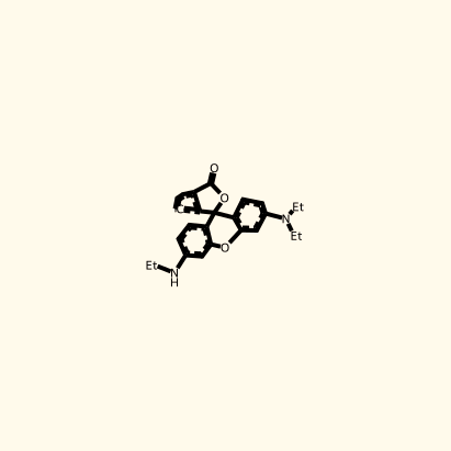 CCNc1ccc2c(c1)Oc1cc(N(CC)CC)ccc1C21OC(=O)c2ccccc21